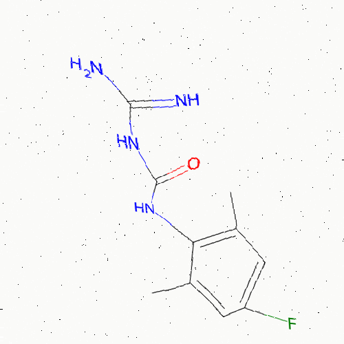 Cc1cc(F)cc(C)c1NC(=O)NC(=N)N